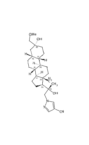 COC[C@@]1(O)CC[C@H]2[C@H](CC[C@@H]3[C@@H]2CC[C@@]2(C)[C@H]3CC[C@@H]2[C@](C)(O)Cn2cc(C#N)cn2)C1